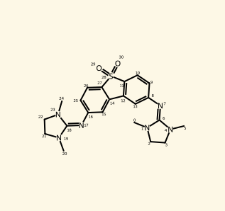 CN1CCN(C)C1=Nc1ccc2c(c1)-c1cc(N=C3N(C)CCN3C)ccc1S2(=O)=O